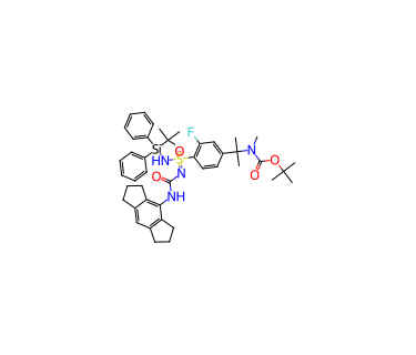 CN(C(=O)OC(C)(C)C)C(C)(C)c1ccc(S(=O)(=NC(=O)Nc2c3c(cc4c2CCC4)CCC3)N[Si](c2ccccc2)(c2ccccc2)C(C)(C)C)c(F)c1